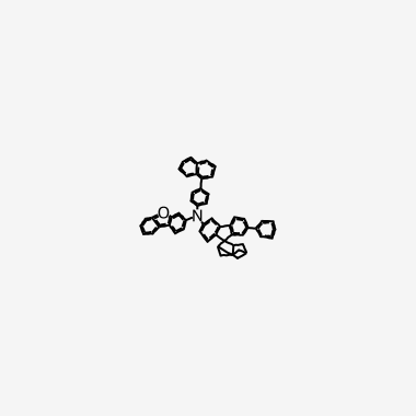 c1ccc(-c2ccc3c(c2)C2(c4ccc(N(c5ccc(-c6cccc7ccccc67)cc5)c5ccc6c(c5)oc5ccccc56)cc4-3)C3CC4CC(C3)C2C4)cc1